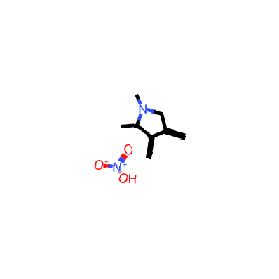 C=C1CN(C)C(C)C1=C.O=[N+]([O-])O